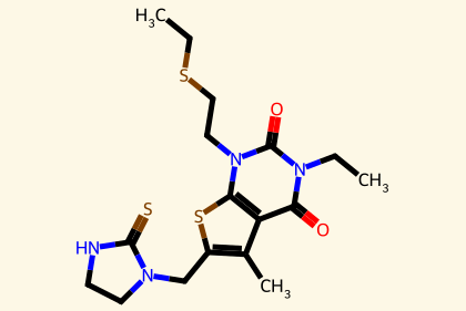 CCSCCn1c(=O)n(CC)c(=O)c2c(C)c(CN3CCNC3=S)sc21